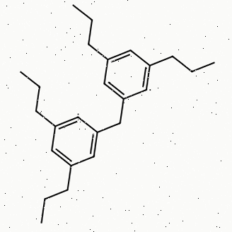 CCCc1[c]c(Cc2[c]c(CCC)cc(CCC)c2)cc(CCC)c1